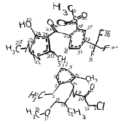 CCc1cccc(C)c1N(C(=O)CCl)C(C)COC.Cc1nn(C)c(O)c1C(=O)c1ccc(C(F)(F)F)cc1S(C)(=O)=O